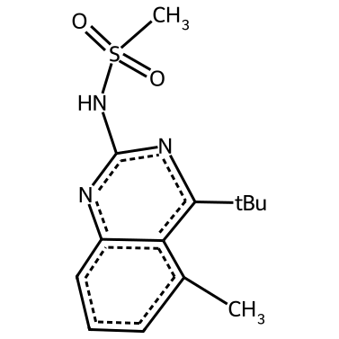 Cc1cccc2nc(NS(C)(=O)=O)nc(C(C)(C)C)c12